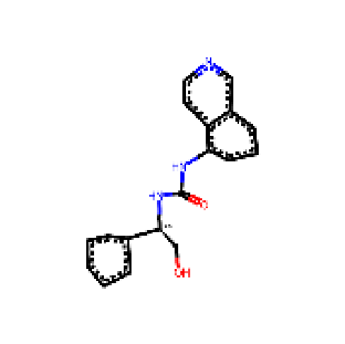 O=C(Nc1cccc2cnccc12)N[C@@H](CO)c1ccccc1